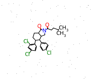 CC(C)CCC(=O)N1CC2C(CCC(c3ccc(Cl)cc3Cl)C2c2ccc(Cl)cc2)C1=O